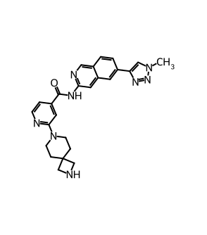 Cn1cc(-c2ccc3cnc(NC(=O)c4ccnc(N5CCC6(CC5)CNC6)c4)cc3c2)nn1